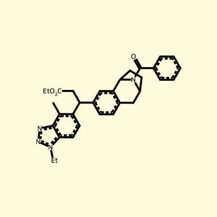 CCOC(=O)CC(c1ccc2c(c1)C1CCC(C2)N1C(=O)c1ccccc1)c1ccc2c(nnn2CC)c1C